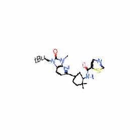 Cn1c(=O)n(CC(C)(C)C)c2ccc(C3CCC(C)(C)C(NC(=O)c4cncs4)C3)nc21